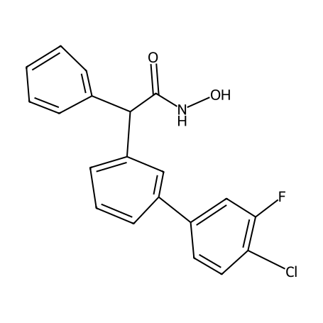 O=C(NO)C(c1ccccc1)c1cccc(-c2ccc(Cl)c(F)c2)c1